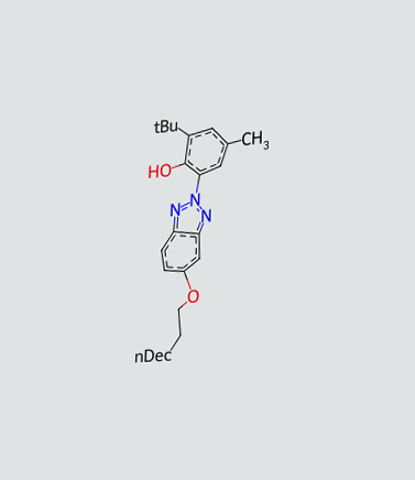 CCCCCCCCCCCCOc1ccc2nn(-c3cc(C)cc(C(C)(C)C)c3O)nc2c1